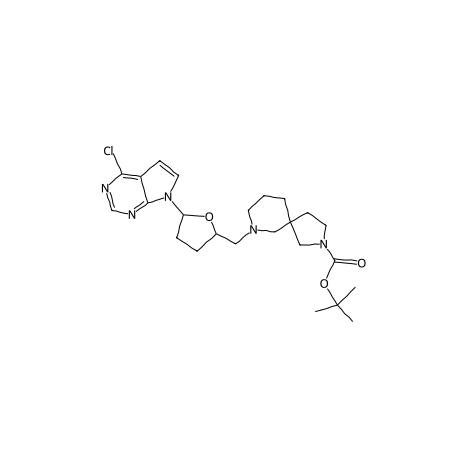 CC(C)(C)OC(=O)N1CCC2(CCCN(CC3CCC(n4ccc5c(Cl)ncnc54)O3)C2)C1